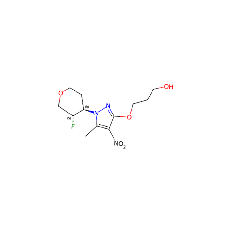 Cc1c([N+](=O)[O-])c(OCCCO)nn1[C@@H]1CCOC[C@H]1F